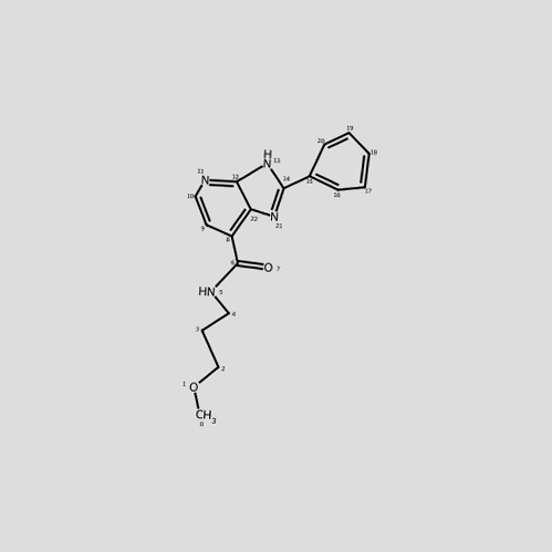 COCCCNC(=O)c1ccnc2[nH]c(-c3ccccc3)nc12